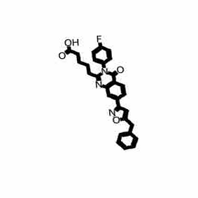 O=C(O)CCCCc1nc2cc(-c3cc(Cc4ccccc4)on3)ccc2c(=O)n1-c1ccc(F)cc1